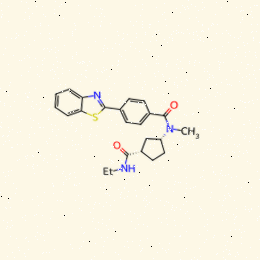 CCNC(=O)[C@H]1CC[C@@H](N(C)C(=O)c2ccc(-c3nc4ccccc4s3)cc2)C1